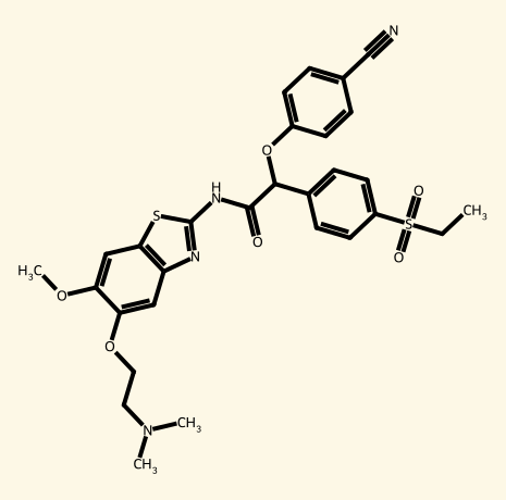 CCS(=O)(=O)c1ccc(C(Oc2ccc(C#N)cc2)C(=O)Nc2nc3cc(OCCN(C)C)c(OC)cc3s2)cc1